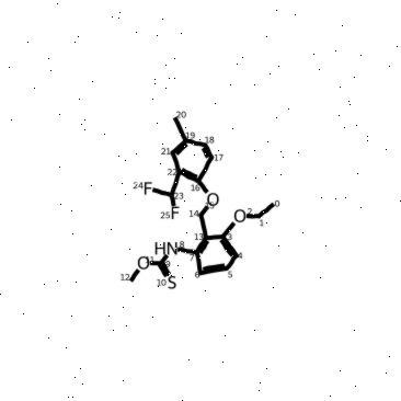 CCOc1cccc(NC(=S)OC)c1COc1ccc(C)cc1C(F)F